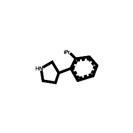 CC(C)c1ccccc1C1CCNC1